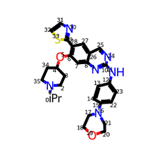 CC(C)N1CCC(Oc2cc3nc(Nc4ccc(N5CCOCC5)cc4)ncc3cc2-c2nccs2)CC1